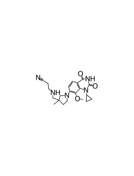 COc1c(N2CCC(C)(CNCCC#N)C2)ccc2c(=O)[nH]c(=O)n(C3CC3)c12